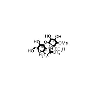 C=C(C)N[C@@H]1[C@H](C)O[C@@H](CO)C(O)[C@H]1O[C@H]1O[C@@H](C(=O)O)C(OC)[C@H](O)[C@@H]1O